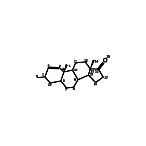 CC1C=C[C@@]2(C)C(CCC3C2CC[C@]2(C)C(=O)CCC32)C1